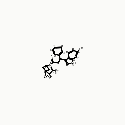 CCC1CC2(C(=O)O)CC(C2)N1C(=O)CC(c1ccccc1)c1c[nH]c2cc(F)ccc12